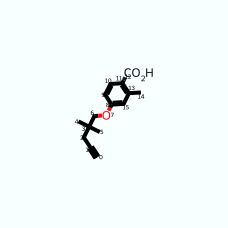 C#CCC(C)(C)COc1ccc(C(=O)O)c(C)c1